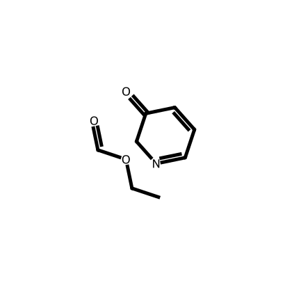 CCOC=O.O=C1C=CC=NC1